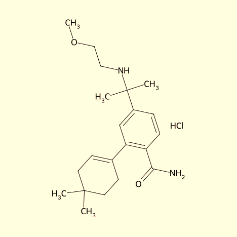 COCCNC(C)(C)c1ccc(C(N)=O)c(C2=CCC(C)(C)CC2)c1.Cl